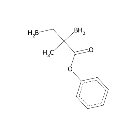 BCC(B)(C)C(=O)Oc1ccccc1